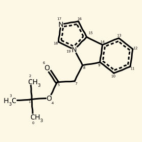 CC(C)(C)OC(=O)CC1c2ccccc2-c2cncn21